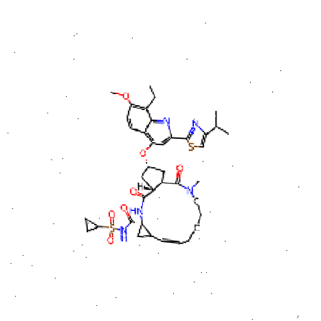 CCc1c(OC)ccc2c(O[C@@H]3CC4C(=O)N(C)CCCC/C=C\C5C[C@@]5(C(=O)NS(=O)(=O)C5CC5)NC(=O)[C@@H]4C3)cc(-c3nc(C(C)C)cs3)nc12